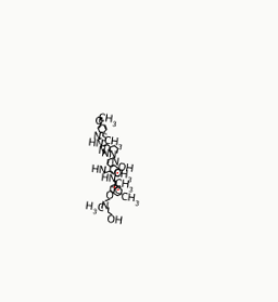 COc1ccc2sc(Nc3nnc4c(c3C)CCCN4c3ccc(/C(C=N)=C(\C)NCC4CC5(C)CC6(C)CC4CC(OCCN(C)CCCO)(C5)C6)c(C(=O)O)n3)nc2c1